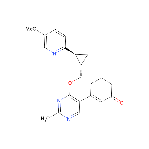 COc1ccc([C@H]2C[C@@H]2COc2nc(C)ncc2C2=CC(=O)CCC2)nc1